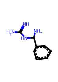 N=C(N)NC(N)c1ccccc1